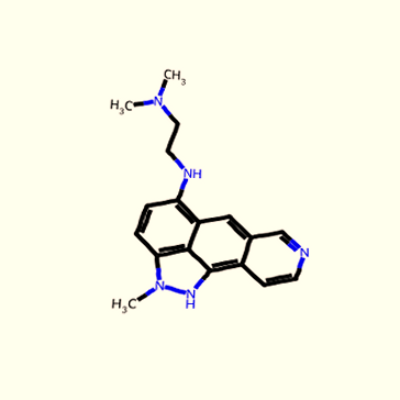 CN(C)CCNc1ccc2c3c(c4ccncc4cc13)NN2C